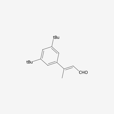 CC(=CC=O)c1cc(C(C)(C)C)cc(C(C)(C)C)c1